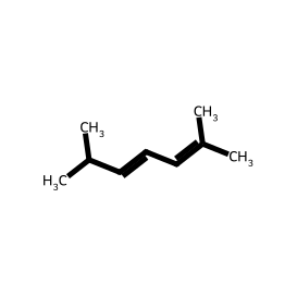 CC(C)=CC=CC(C)C